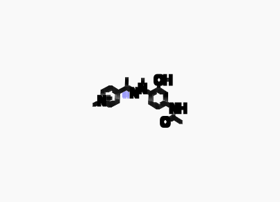 CC(=O)Nc1ccc(N(C)/N=C(\C)c2cc[n+](C)cc2)c(O)c1